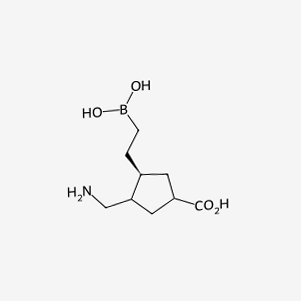 NCC1CC(C(=O)O)C[C@@H]1CCB(O)O